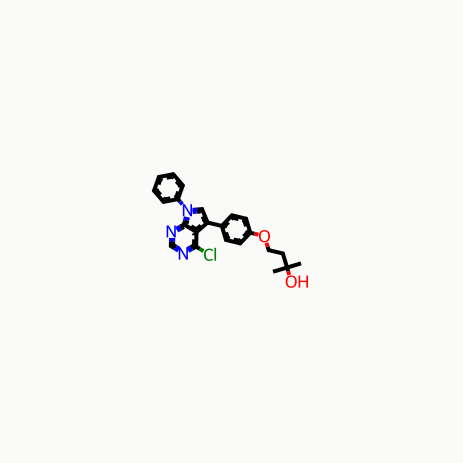 CC(C)(O)CCOc1ccc(-c2cn(-c3ccccc3)c3ncnc(Cl)c23)cc1